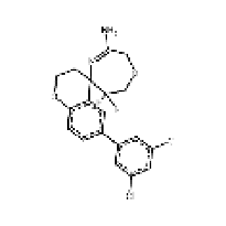 NC1=NC2(CCOc3ccc(-c4cc(Cl)cc(Cl)c4)cc32)C(F)(F)COC1